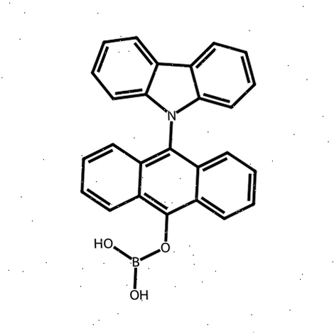 OB(O)Oc1c2ccccc2c(-n2c3ccccc3c3ccccc32)c2ccccc12